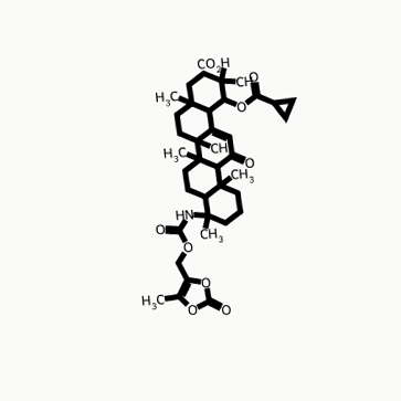 Cc1oc(=O)oc1COC(=O)NC1(C)CCCC2(C)C1CCC1(C)C2C(=O)C=C2C3C(OC(=O)C4CC4)C(C)(C(=O)O)CCC3(C)CCC21C